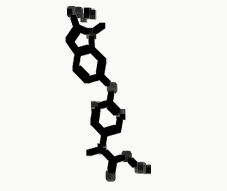 CCOC(=O)c1cc2ccc(Oc3ncc(N(C)C(=O)OC(C)(C)C)cn3)cc2n1C